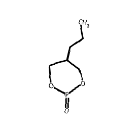 CCCC1CO[P](=O)OC1